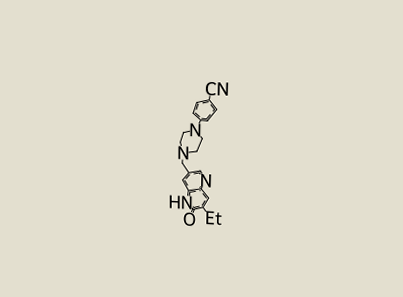 CCc1cc2ncc(CN3CCN(c4ccc(C#N)cc4)CC3)cc2[nH]c1=O